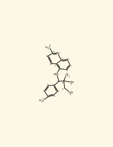 Cc1ccc(C(Nc2cccc3nc(C)ccc23)C(O)(CO)C(F)(F)F)cc1